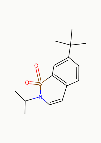 CC(C)N1C=Cc2ccc(C(C)(C)C)cc2S1(=O)=O